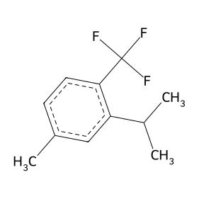 Cc1ccc(C(F)(F)F)c(C(C)C)c1